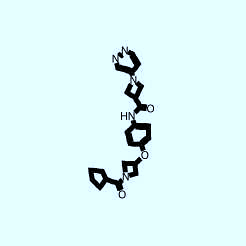 O=C(Nc1ccc(OC2CN(C(=O)C3CCCC3)C2)cc1)C1CN(c2ccnnc2)C1